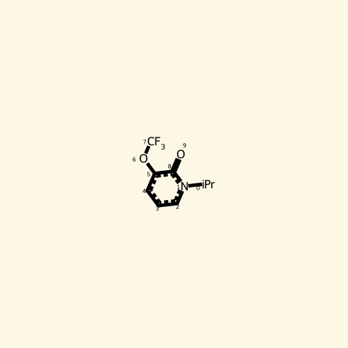 CC(C)n1cccc(OC(F)(F)F)c1=O